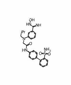 CC(C)CN(CC(=O)Nc1ccc(-c2ccccc2S(N)(=O)=O)cc1)c1cccc(C(=N)NO)c1